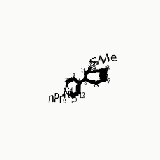 CCC[n+]1ccc(-c2cccc(SC)c2)cc1